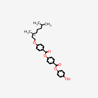 CC(C)CCC[C@H](C)CCOc1ccc(C(=O)Oc2ccc(C(=O)Oc3ccc(O)cc3)cc2)cc1